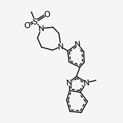 Cn1c(-c2ccnc(N3CCCN(S(C)(=O)=O)CC3)c2)nc2ccccc21